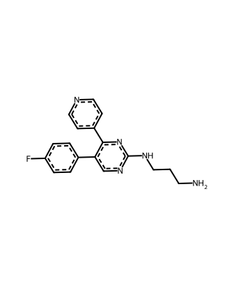 NCCCNc1ncc(-c2ccc(F)cc2)c(-c2ccncc2)n1